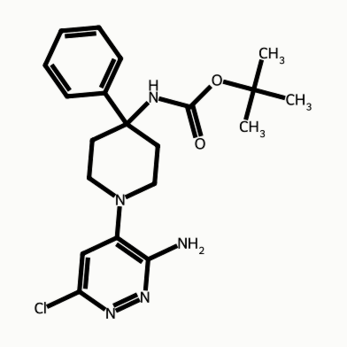 CC(C)(C)OC(=O)NC1(c2ccccc2)CCN(c2cc(Cl)nnc2N)CC1